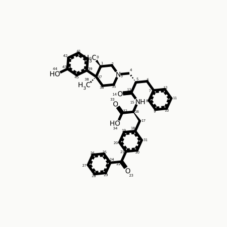 C[C@H]1CN(C[C@H](Cc2ccccc2)C(=O)N[C@@H](Cc2ccc(C(=O)c3ccccc3)cc2)C(=O)O)CC[C@@]1(C)c1cccc(O)c1